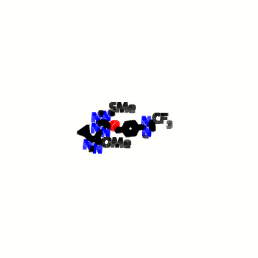 COc1ncnc(C2CC2)c1-c1nc(OCc2ccc(-c3nc(C(F)(F)F)cn3C)cc2)c2c(ncn2CSC)n1